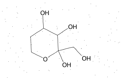 OCC1(O)OCCC(O)C1O